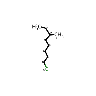 CCC(C)CCCCCCl